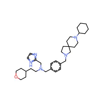 c1c[nH]c(CN(CCC2CCOCC2)Cc2ccc(CN3CCC4(CCN(C5CCCCC5)CC4)C3)cc2)n1